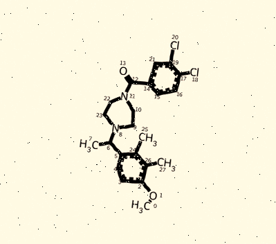 COc1ccc(C(C)N2CCN(C(=O)c3ccc(Cl)c(Cl)c3)CC2)c(C)c1C